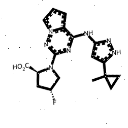 CC1(c2cc(Nc3nc(N4C[C@H](F)C[C@H]4C(=O)O)nn4cccc34)n[nH]2)CC1